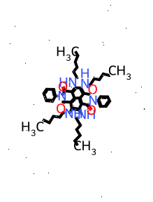 CCCCCCNc1c(NCCCCCC)c2c3c(c(NCCCCCC)c(NCCCCCC)c4c3c1C(=O)N(c1ccccc1)C4=O)C(=O)N(c1ccccc1)C2=O